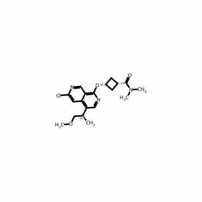 COC[C@H](C)c1cnc(O[C@H]2C[C@@H](C(=O)N(C)C)C2)c2cnc(Cl)cc12